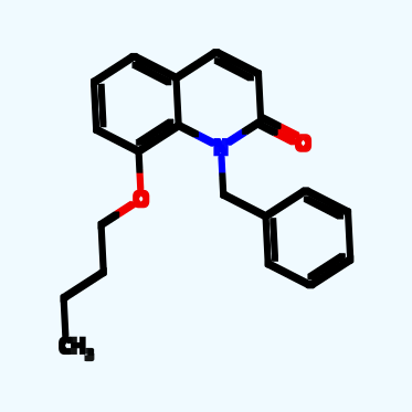 CCCCOc1cccc2ccc(=O)n(Cc3ccccc3)c12